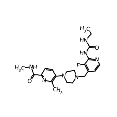 CCNC(=O)Nc1nccc(CN2CCN(c3ccc(C(=O)NC)nc3C)CC2)c1F